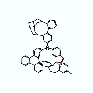 Cc1ccc2c(c1)CCc1cc3ccc1C21c2ccccc2-c2ccc(cc21)N(c1ccc2c(c1)C1CC4CC5CC(CC54C1)c1ccccc1-2)c1ccc(-c2ccccc2-c2ccccc2)c-3c1